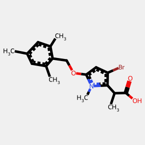 Cc1cc(C)c(COc2cc(Br)c(C(C)C(=O)O)n2C)c(C)c1